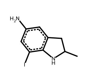 CC1Cc2cc(N)cc(I)c2N1